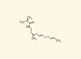 C=C(C)C(=O)NCCN(C)CC=CCCC=CC